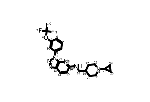 FC(F)(F)Oc1cccc(-n2nnc3ccc(NCC4CCN(C5CC5)CC4)nc32)c1